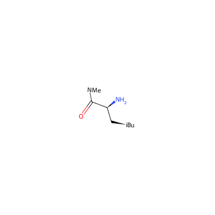 CC[C@H](C)C[C@H](N)C(=O)NC